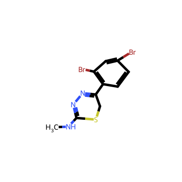 CNC1=NN=C(c2ccc(Br)cc2Br)CS1